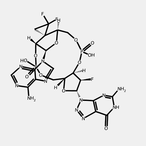 Nc1nc2c(nnn2[C@@H]2O[C@@H]3COP(=O)(O)O[C@H]4[C@H](n5cnc6c(N)ncnc65)O[C@H](COP(=O)(O)O[C@H]3[C@H]2F)[C@@]42CC2(F)F)c(=O)[nH]1